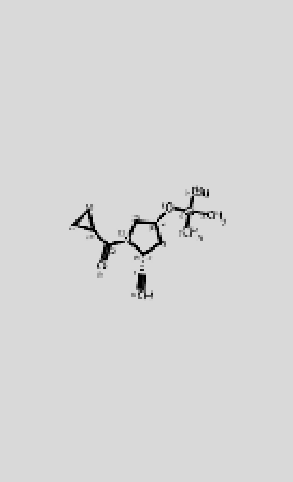 C#C[C@H]1C[C@H](O[Si](C)(C)C(C)(C)C)CN1C(=O)C1CC1